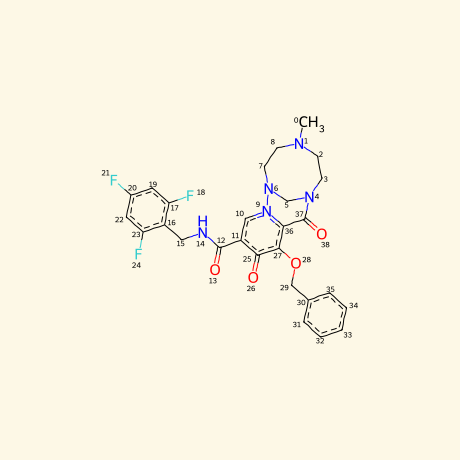 CN1CCN2CN(CC1)n1cc(C(=O)NCc3c(F)cc(F)cc3F)c(=O)c(OCc3ccccc3)c1C2=O